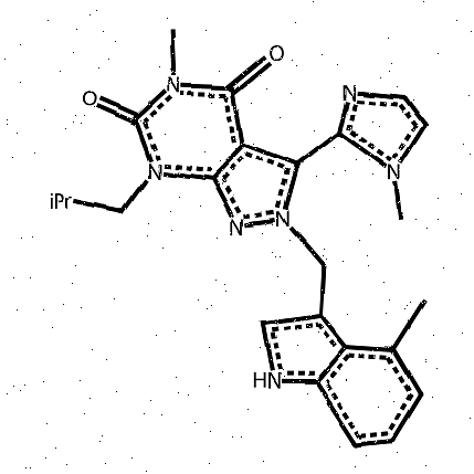 Cc1cccc2[nH]cc(Cn3nc4c(c3-c3nccn3C)c(=O)n(C)c(=O)n4CC(C)C)c12